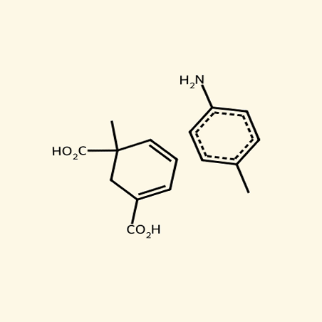 CC1(C(=O)O)C=CC=C(C(=O)O)C1.Cc1ccc(N)cc1